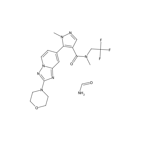 CN(CC(F)(F)F)C(=O)c1cnn(C)c1-c1ccn2nc(N3CCOCC3)nc2c1.NC=O